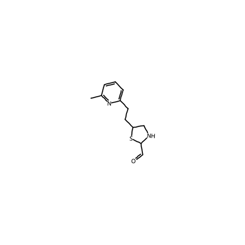 Cc1cccc(CCC2CNC(C=O)S2)n1